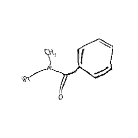 CC(C)N(C)C(=O)c1ccccc1